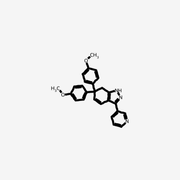 COc1ccc(C2(c3ccc(OC)cc3)C=Cc3c(-c4cccnc4)n[nH]c3C2)cc1